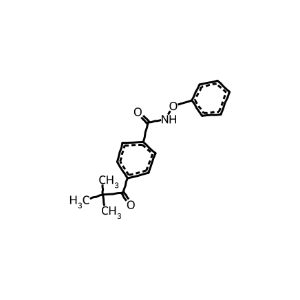 CC(C)(C)C(=O)c1ccc(C(=O)NOc2ccccc2)cc1